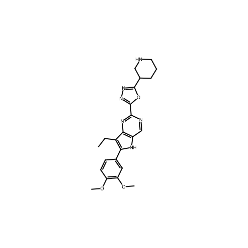 CCc1c(-c2ccc(OC)c(OC)c2)[nH]c2cnc(-c3nnc(C4CCCNC4)o3)nc12